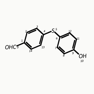 O=Cc1ccc(Sc2ccc(O)cc2)cc1